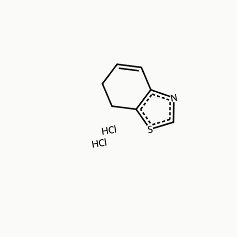 C1=Cc2ncsc2CC1.Cl.Cl